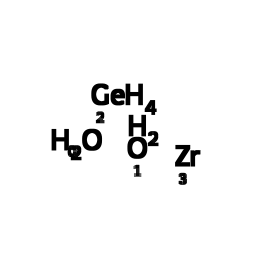 O.O.[GeH4].[Zr]